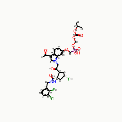 CC(=O)c1cn(CC(=O)C2C[C@H](F)C[C@H]2C(=O)NCc2cccc(Cl)c2F)c2cc(OCP(=O)(O)OCOC(=O)OC(C)C)ccc12